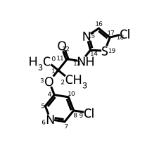 CC(C)(Oc1cncc(Cl)c1)C(=O)Nc1ncc(Cl)s1